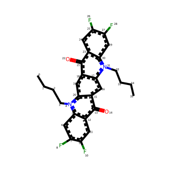 CCCCn1c2cc(F)c(F)cc2c(=O)c2cc3c(cc21)c(=O)c1cc(F)c(F)cc1n3CCCC